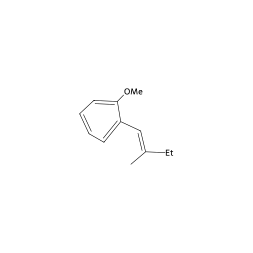 CC/C(C)=C/c1ccccc1OC